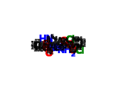 CC(=O)C(C(=O)O)(c1cc[nH]c(=O)c1NC(=O)OCc1ccccc1)C(N)C(=O)COC(=O)c1c(Cl)cccc1Cl